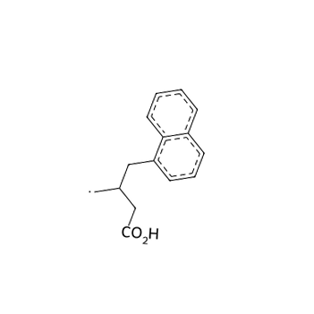 [CH2]C(CC(=O)O)Cc1cccc2ccccc12